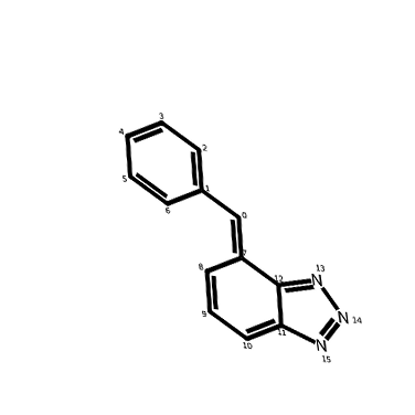 C(c1ccccc1)=c1cccc2c1=NN=N2